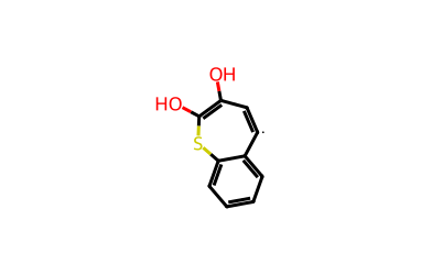 OC1=C(O)Sc2ccccc2[C]=C1